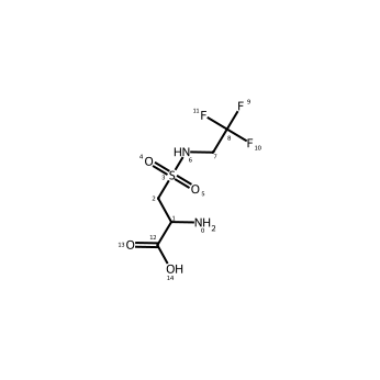 NC(CS(=O)(=O)NCC(F)(F)F)C(=O)O